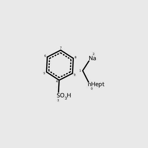 CCCCCCC[CH2][Na].O=S(=O)(O)c1ccccc1